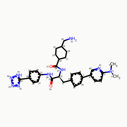 CN(C)c1ccc(-c2ccc(C[C@H](NC(=O)C3CCC(CN)CC3)C(=O)Nc3ccc(-c4nnn[nH]4)cc3)cc2)cn1